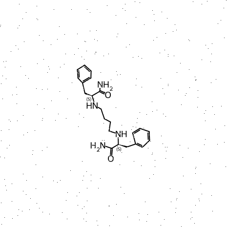 NC(=O)[C@H](Cc1ccccc1)NCCCCN[C@@H](Cc1ccccc1)C(N)=O